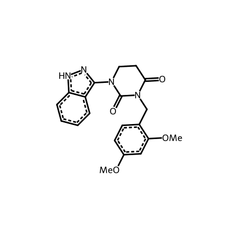 COc1ccc(CN2C(=O)CCN(c3n[nH]c4ccccc34)C2=O)c(OC)c1